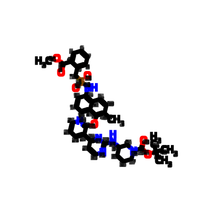 COC(=O)c1ccccc1CS(=O)(=O)Nc1cccc2c(Oc3ncccc3-c3ccnc(NC4CCCN(C(=O)OC(C)(C)C)C4)n3)c(C)ccc12